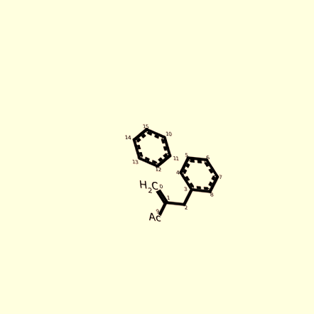 C=C(Cc1ccccc1)C(C)=O.c1ccccc1